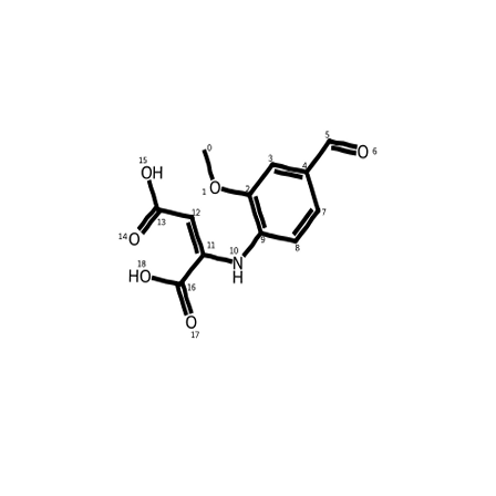 COc1cc(C=O)ccc1NC(=CC(=O)O)C(=O)O